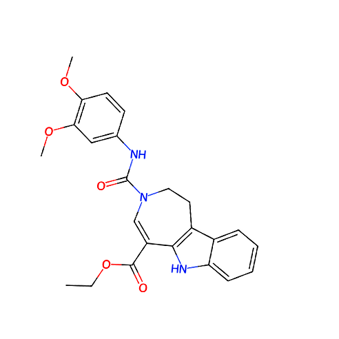 CCOC(=O)C1=CN(C(=O)Nc2ccc(OC)c(OC)c2)CCc2c1[nH]c1ccccc21